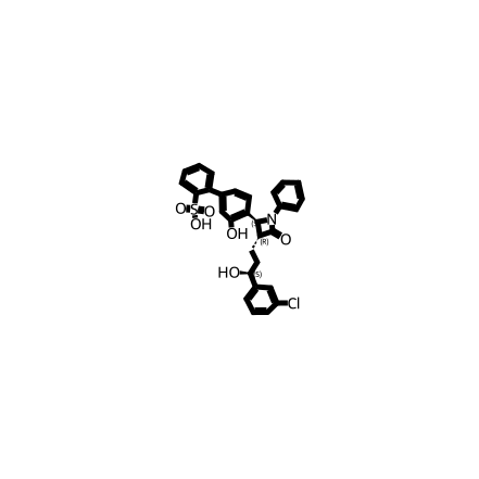 O=C1[C@H](CC[C@H](O)c2cccc(Cl)c2)[C@@H](c2ccc(-c3ccccc3S(=O)(=O)O)cc2O)N1c1ccccc1